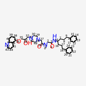 CN(CC(=O)NC(CCCc1ccccc1)CCCc1ccccc1)C(=O)CN1CCN(C[C@@H](O)COc2cccc3ncccc23)CC1